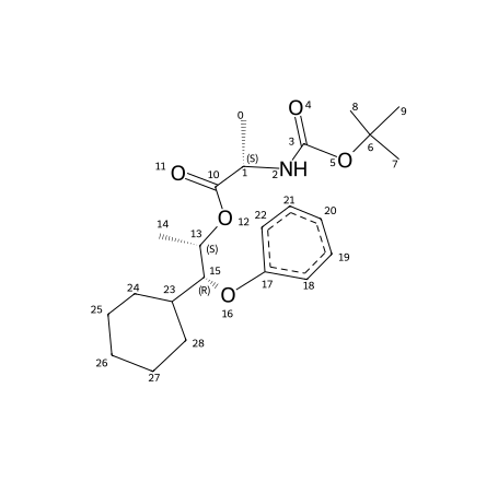 C[C@H](NC(=O)OC(C)(C)C)C(=O)O[C@@H](C)[C@H](Oc1ccccc1)C1CCCCC1